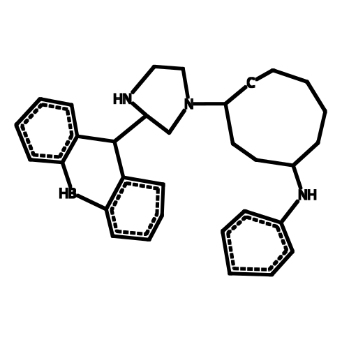 B1c2ccccc2C(C2CN(C3CCCCCC(Nc4ccccc4)CC3)CCN2)c2ccccc21